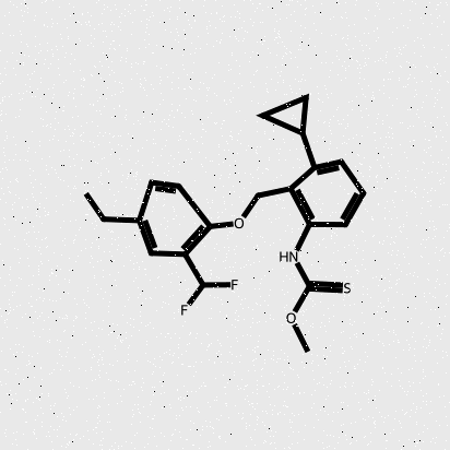 CCc1ccc(OCc2c(NC(=S)OC)cccc2C2CC2)c(C(F)F)c1